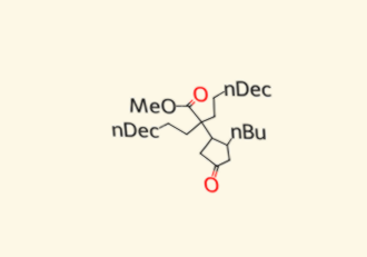 CCCCCCCCCCCCC(CCCCCCCCCCCC)(C(=O)OC)C1CC(=O)CC1CCCC